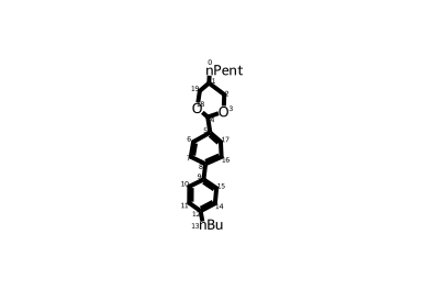 CCCCCC1COC(c2ccc(-c3ccc(CCCC)cc3)cc2)OC1